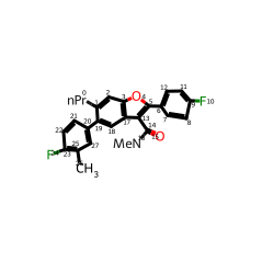 CCCc1cc2oc(-c3ccc(F)cc3)c(C(=O)NC)c2cc1-c1ccc(F)c(C)c1